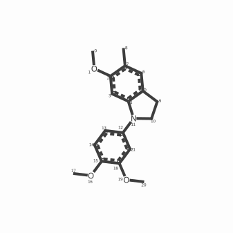 COc1cc2c(cc1C)CCN2c1ccc(OC)c(OC)c1